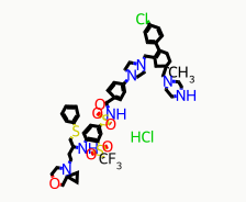 C[C@@]1(CN2CCNCC2)CCC(c2ccc(Cl)cc2)=C(CN2CCN(c3ccc(C(=O)NS(=O)(=O)c4ccc(NC(CCN5CCOCC56CC6)CSc5ccccc5)c(S(=O)(=O)C(F)(F)F)c4)cc3)CC2)C1.Cl